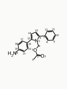 CC(=O)OCn1c(-c2ccccc2)ccc1-c1ccc(N)cc1